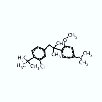 COc1cc(N(C)C)ccc1C(C)(C)Cc1ccc(C(C)(C)C)c(Cl)c1